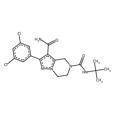 CC(C)(C)NC(=O)N1CCn2nc(-c3cc(Cl)cc(Cl)c3)c(C(N)=O)c2C1